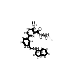 CNNC(=O)c1nc(-c2cccc(CN[C@H]3CCc4ccccc43)c2)cnc1N